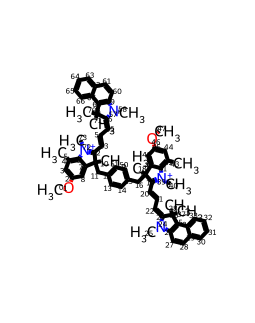 COc1cc(C)c2c(c1)C(C)(Cc1ccc(CC3(C)C(/C=C/C=C4/N(C)c5ccc6ccccc6c5C4(C)C)=[N+](C)c4c(C)cc(OC)cc43)cc1)C(/C=C/C=C1/N(C)c3ccc4ccccc4c3C1(C)C)=[N+]2C